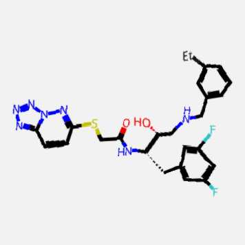 CCc1cccc(CNC[C@@H](O)[C@H](Cc2cc(F)cc(F)c2)NC(=O)CSc2ccc3nnnn3n2)c1